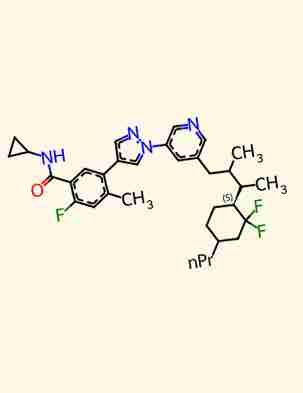 CCCC1CC[C@@H](C(C)C(C)Cc2cncc(-n3cc(-c4cc(C(=O)NC5CC5)c(F)cc4C)cn3)c2)C(F)(F)C1